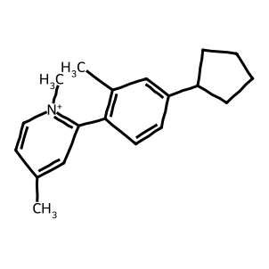 Cc1cc[n+](C)c(-c2ccc(C3CCCC3)cc2C)c1